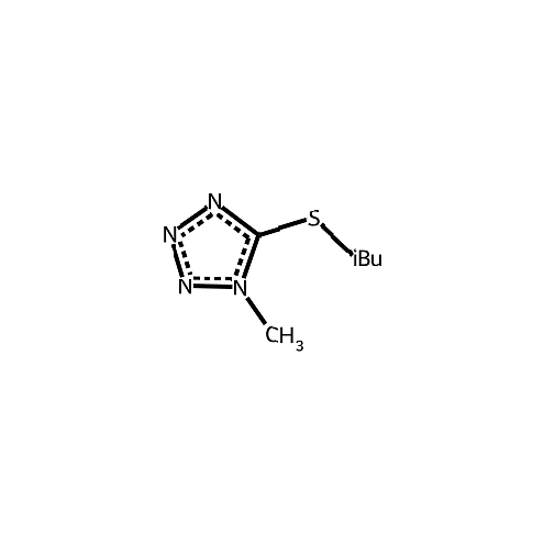 CCC(C)Sc1nnnn1C